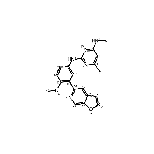 CNc1cc(C)nc(Nc2ccc(OC)c(-c3cc4cnoc4cn3)c2)n1